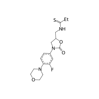 CCC(=S)NCC1CN(c2ccc(N3CCOCC3)c(F)c2)C(=O)O1